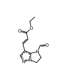 CCOC(=O)C=Cc1cnn2c1N(C=O)CC2